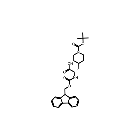 CC(C)(C)OC(=O)N1CCC(C[C@H](NC(=O)OCC2c3ccccc3-c3ccccc32)C(=O)O)CC1